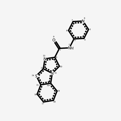 O=C(Nc1ccncc1)c1cn2c(n1)sc1ccccc12